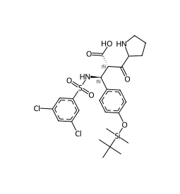 CC(C)(C)[Si](C)(C)Oc1ccc([C@@H](NS(=O)(=O)c2cc(Cl)cc(Cl)c2)[C@H](C(=O)O)C(=O)C2CCCN2)cc1